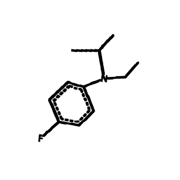 CCN(c1ccc(F)cc1)C(C)C